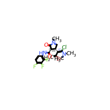 C=C(Br)/C(=C(/Cl)N(C)C)[C@H]1CN(C)C(=O)[C@@H]1C(=O)Nc1ccc(F)c(F)c1F